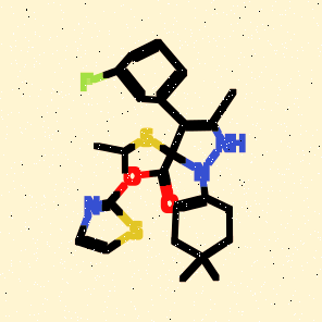 CC1=C(c2cccc(F)c2)C(SC(C)C)(C(=O)Oc2nccs2)N(C2=CCC(C)(C)CC2)N1